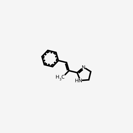 C/C(=C\c1ccccc1)C1=NCCN1